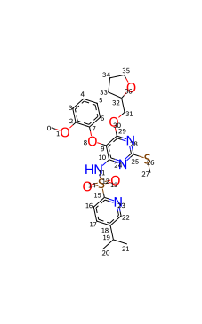 COc1ccccc1Oc1c(NS(=O)(=O)c2ccc(C(C)C)cn2)nc(SC)nc1OCC1CCCO1